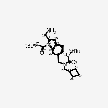 CC(C)(C)OC(=O)N(Cc1ccc2cc(CN)n(C(=O)OC(C)(C)C)c2c1)CC1CCC1